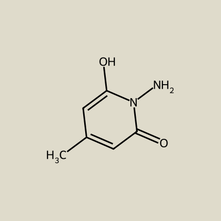 Cc1cc(O)n(N)c(=O)c1